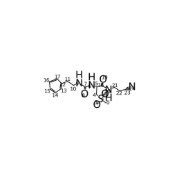 CS(=O)(=O)CC(NC(=O)NCCc1ccccc1)C(=O)NCCC#N